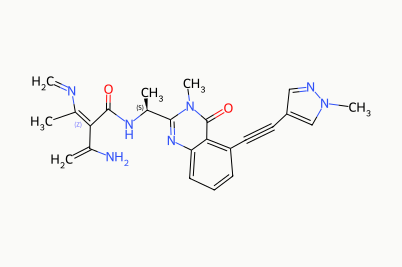 C=N/C(C)=C(/C(=C)N)C(=O)N[C@@H](C)c1nc2cccc(C#Cc3cnn(C)c3)c2c(=O)n1C